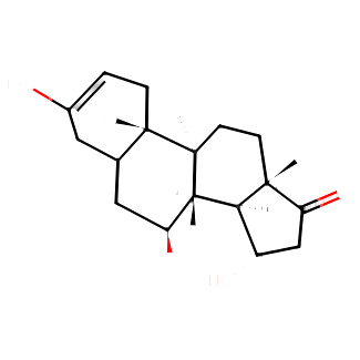 C[C@]12CC=C(O)CC1C[C@H](O)[C@H]1[C@@H]3[C@@H](O)CC(=O)[C@@]3(C)CC[C@@H]12